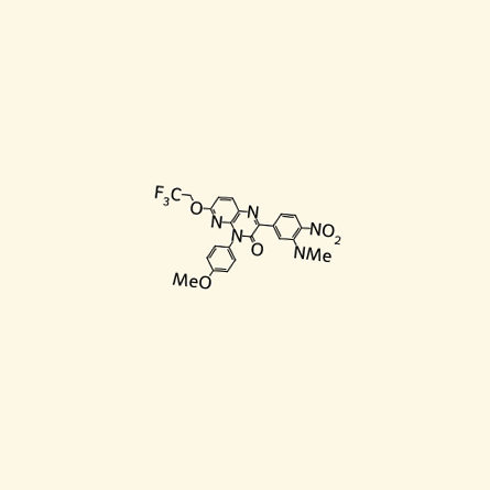 CNc1cc(-c2nc3ccc(OCC(F)(F)F)nc3n(-c3ccc(OC)cc3)c2=O)ccc1[N+](=O)[O-]